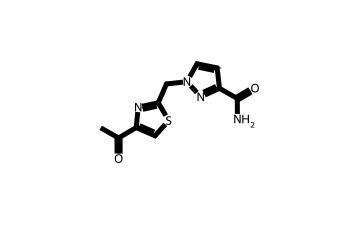 CC(=O)c1csc(Cn2c[c]c(C(N)=O)n2)n1